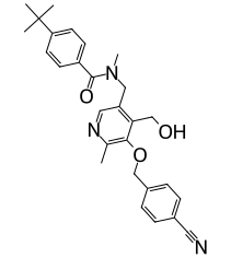 Cc1ncc(CN(C)C(=O)c2ccc(C(C)(C)C)cc2)c(CO)c1OCc1ccc(C#N)cc1